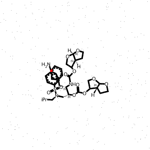 CC(C)CN(C[C@@H](OC(=O)OC1COC2OCC[C@H]12)[C@H](Cc1ccccc1)NC(=O)OC1CO[C@H]2OCC[C@@H]12)S(=O)(=O)c1ccc(N)cc1